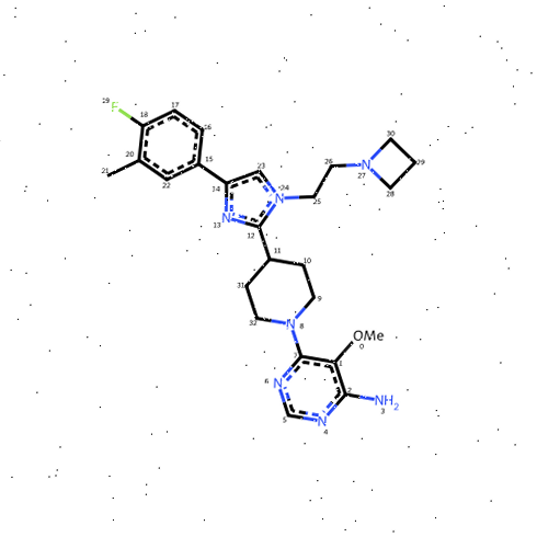 COc1c(N)ncnc1N1CCC(c2nc(-c3ccc(F)c(C)c3)cn2CCN2CCC2)CC1